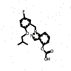 CC(C)COc1ccc(F)cc1Cn1ncc2c(OC(=O)O)cccc21